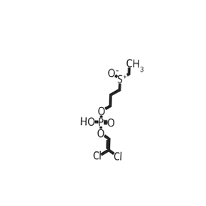 CC[S+]([O-])CCCOP(=O)(O)OC=C(Cl)Cl